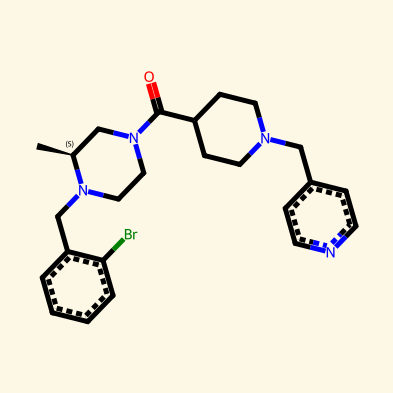 C[C@H]1CN(C(=O)C2CCN(Cc3ccncc3)CC2)CCN1Cc1ccccc1Br